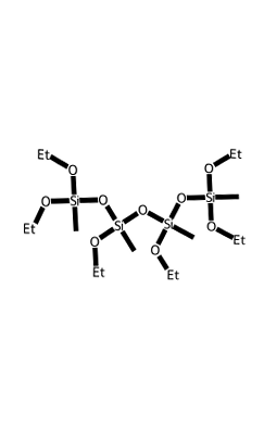 CCO[Si](C)(OCC)O[Si](C)(OCC)O[Si](C)(OCC)O[Si](C)(OCC)OCC